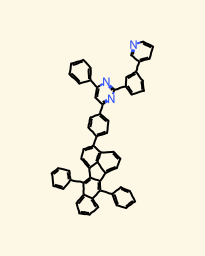 c1ccc(-c2cc(-c3ccc(-c4ccc5c6c(cccc46)-c4c-5c(-c5ccccc5)c5ccccc5c4-c4ccccc4)cc3)nc(-c3cccc(-c4cccnc4)c3)n2)cc1